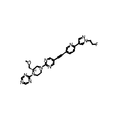 COC[C@H]1CN(c2ncc(C#Cc3ccc(-c4cnn(CCF)c4)nc3)cn2)CCN1c1ncncn1